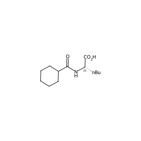 CCCC[C@H](NC(=O)C1CCCCC1)C(=O)O